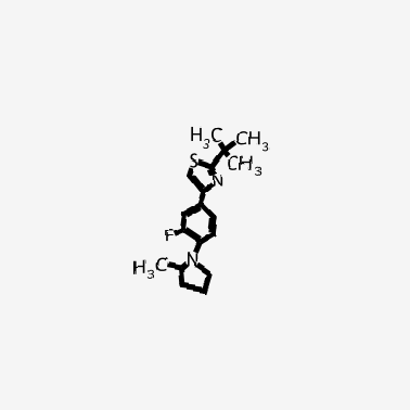 CC1CCCN1c1ccc(-c2csc(C(C)(C)C)n2)cc1F